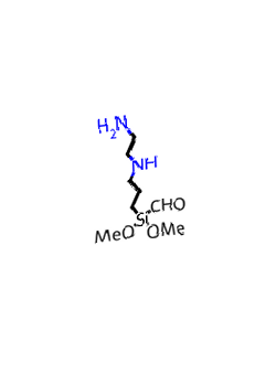 CO[Si](C=O)(CCCNCCN)OC